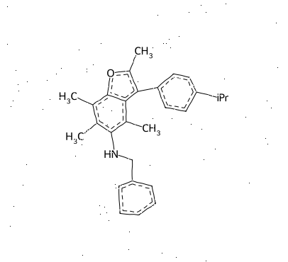 Cc1oc2c(C)c(C)c(NCc3ccccc3)c(C)c2c1-c1ccc(C(C)C)cc1